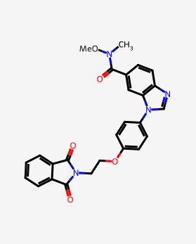 CON(C)C(=O)c1ccc2ncn(-c3ccc(OCCN4C(=O)c5ccccc5C4=O)cc3)c2c1